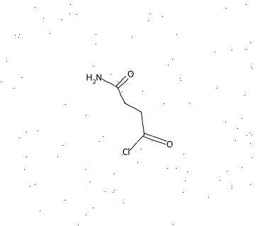 NC(=O)CCC(=O)Cl